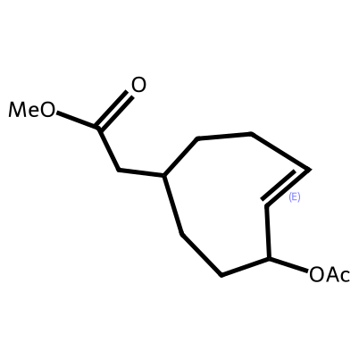 COC(=O)CC1CC/C=C/C(OC(C)=O)CC1